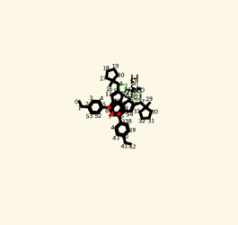 CCc1ccc(-c2cccc3c2C=C(CC2(C)CCCC2)[CH]3[Zr]([Cl])([Cl])([CH]2C(CC3(C)CCCC3)=Cc3c(-c4ccc(CC)cc4)cccc32)[SiH](C)C)cc1